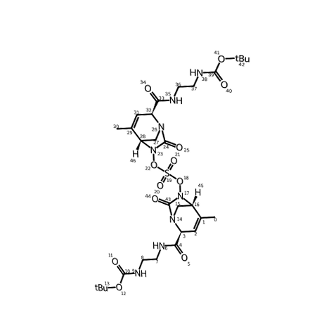 CC1=C[C@@H](C(=O)NCCNC(=O)OC(C)(C)C)N2C[C@@H]1N(OS(=O)(=O)ON1C(=O)N3C[C@H]1C(C)=C[C@H]3C(=O)NCCNC(=O)OC(C)(C)C)C2=O